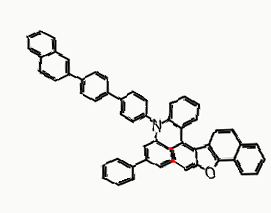 c1ccc(-c2cccc(N(c3ccc(-c4ccc(-c5ccc6ccccc6c5)cc4)cc3)c3ccccc3-c3cccc4oc5c6ccccc6ccc5c34)c2)cc1